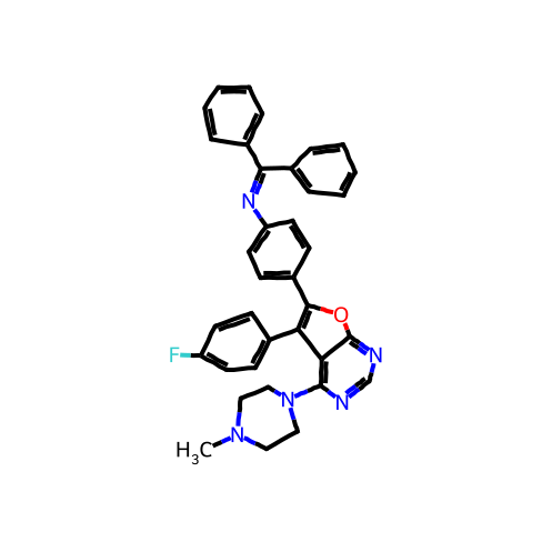 CN1CCN(c2ncnc3oc(-c4ccc(N=C(c5ccccc5)c5ccccc5)cc4)c(-c4ccc(F)cc4)c23)CC1